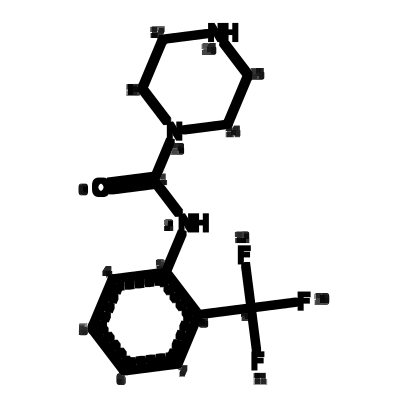 O=C(Nc1ccccc1C(F)(F)F)N1CCNCC1